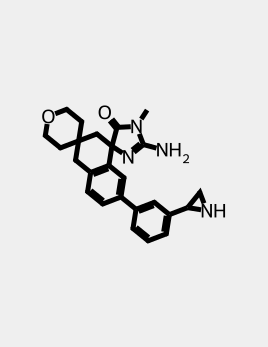 CN1C(=O)C2(CC3(CCOCC3)Cc3ccc(-c4cccc(C5CN5)c4)cc32)N=C1N